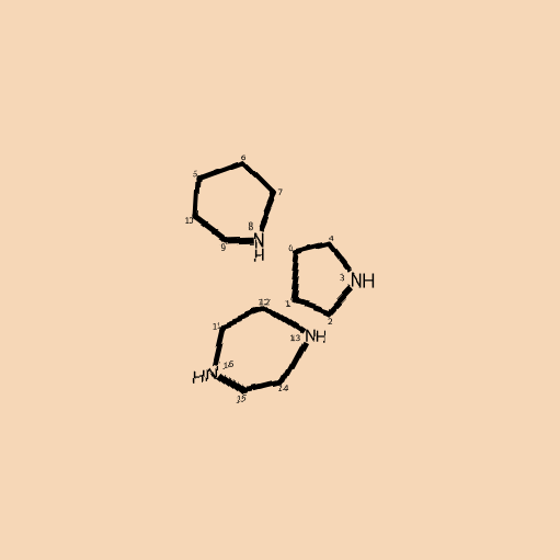 C1CCNC1.C1CCNCC1.C1CNCCN1